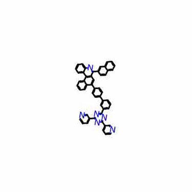 c1cncc(-c2nc(-c3cccnc3)nc(-c3cccc(-c4ccc(-c5cc6c(-c7ccc8ccccc8c7)nc7ccccc7c6c6ccccc56)cc4)c3)n2)c1